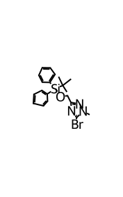 Cn1nc(CO[Si](c2ccccc2)(c2ccccc2)C(C)(C)C)nc1Br